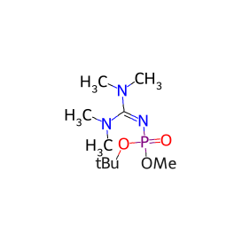 COP(=O)(N=C(N(C)C)N(C)C)OC(C)(C)C